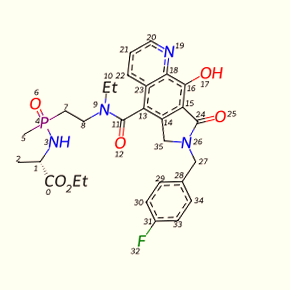 CCOC(=O)[C@H](C)NP(C)(=O)CCN(CC)C(=O)c1c2c(c(O)c3ncccc13)C(=O)N(Cc1ccc(F)cc1)C2